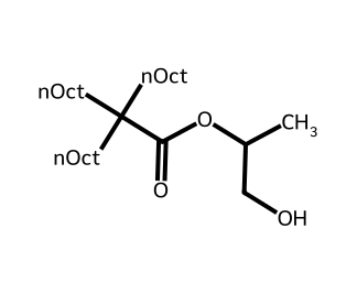 CCCCCCCCC(CCCCCCCC)(CCCCCCCC)C(=O)OC(C)CO